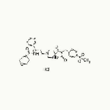 CS(=O)(=O)c1ccc(CN2C(=O)NC3(CCN(CC[C@H](NC(=O)N4CCOCC4)c4ccccc4)CC3)C2=O)cc1.Cl